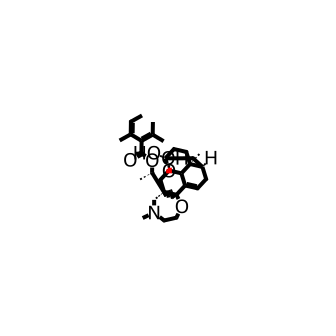 C/C=C(/C)C(C(=O)O[C@@H](C)C1=CC[C@@]23OCCN(C)C[C@@]12C[C@@H](O)[C@]12O[C@@]4(O)CC[C@@]1(C)[C@H](CC=C32)C4)=C(C)C